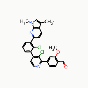 [CH2]c1cn(C)c2nc(-c3cccc(-c4ccnc(-c5ccc(C=O)c(OC)c5)c4Cl)c3Cl)ccc12